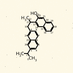 CC(C)c1ccc2ccc(CC(C)c3cc4ccccc4cc3O)cc2c1